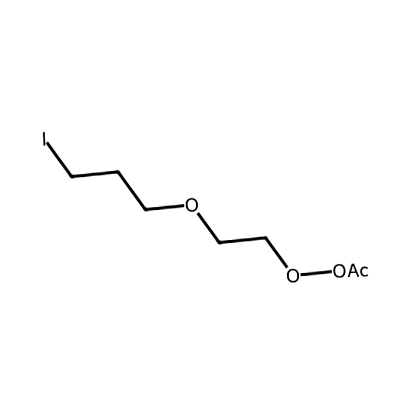 CC(=O)OOCCOCCCI